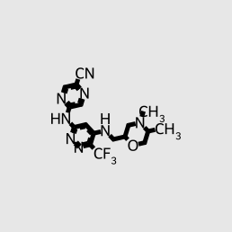 CC1COC(CNc2cc(Nc3cnc(C#N)cn3)nnc2C(F)(F)F)CN1C